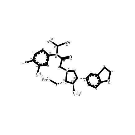 CCCC(C)C[C@H]1[C@H](C(=O)O)[C@@H](c2ccc3c(c2)CCO3)CN1CC(=O)N(c1ccc(F)c(C)c1)C(CCC)CCC